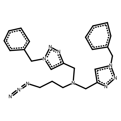 [N-]=[N+]=NCCCN(Cc1cn(Cc2ccccc2)nn1)Cc1cn(Cc2ccccc2)nn1